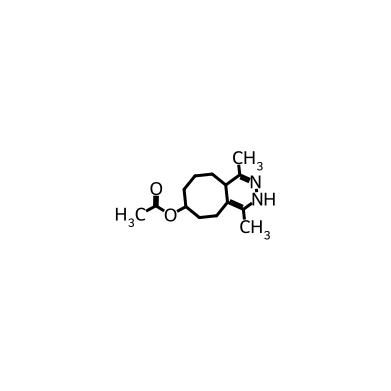 CC(=O)OC1CCCC2C(C)=NNC(C)=C2CC1